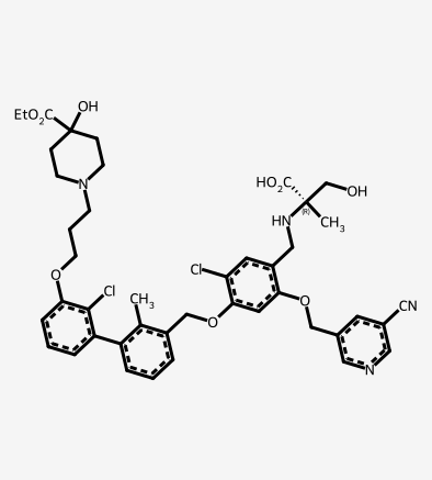 CCOC(=O)C1(O)CCN(CCCOc2cccc(-c3cccc(COc4cc(OCc5cncc(C#N)c5)c(CN[C@](C)(CO)C(=O)O)cc4Cl)c3C)c2Cl)CC1